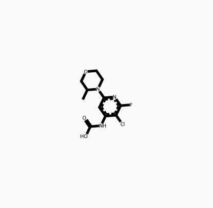 CC1COCCN1c1cc(NC(=O)O)c(Cl)c(F)n1